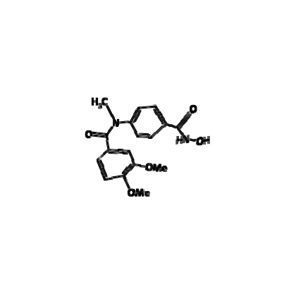 COc1ccc(C(=O)N(C)c2ccc(C(=O)NO)cc2)cc1OC